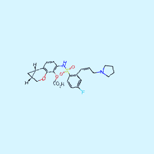 O=C(O)Oc1c(NS(=O)(=O)c2ccc(F)cc2/C=C\CN2CCCC2)ccc2c1OC[C@@H]1C[C@H]21